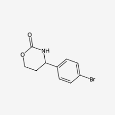 O=C1NC(c2ccc(Br)cc2)CCO1